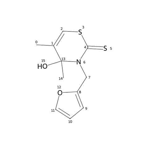 CC1=CSC(=S)N(Cc2ccco2)C1(C)O